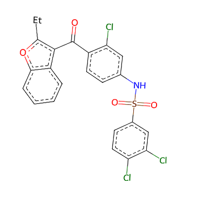 CCc1oc2ccccc2c1C(=O)c1ccc(NS(=O)(=O)c2ccc(Cl)c(Cl)c2)cc1Cl